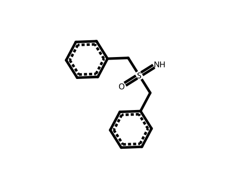 N=S(=O)(Cc1ccccc1)Cc1ccccc1